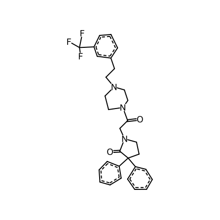 O=C(CN1CCC(c2ccccc2)(c2ccccc2)C1=O)N1CCN(CCc2cccc(C(F)(F)F)c2)CC1